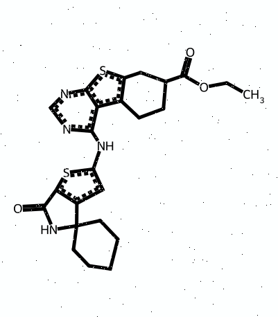 CCOC(=O)C1CCc2c(sc3ncnc(Nc4cc5c(s4)C(=O)NC54CCCCC4)c23)C1